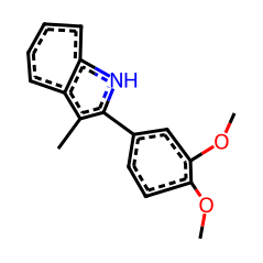 COc1ccc(-c2[nH]c3ccccc3c2C)cc1OC